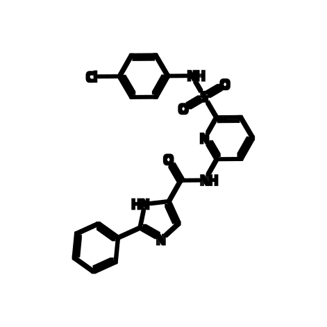 O=C(Nc1cccc(S(=O)(=O)Nc2ccc(Cl)cc2)n1)c1cnc(-c2ccccc2)[nH]1